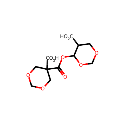 O=C(O)C1COCOC1OC(=O)C1(C(=O)O)COCOC1